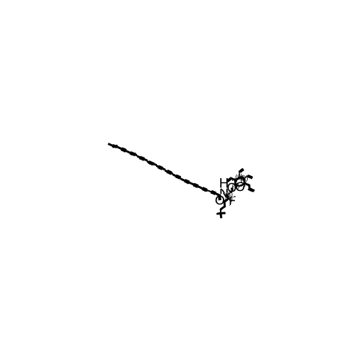 C=CCC1O[C@H](OC[C@H](NC(=O)C#CC#CC#CC#CC#CC#CC#CC#CC#CC#CC#CC#CC)[C@H](F)CCCC(C)(C)C)C(C=C)[C@@H](C=C)[C@H]1C=C